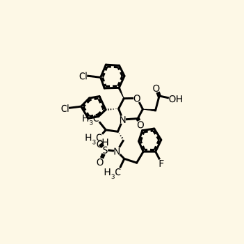 CC(C)[C@@H](CN(C(C)Cc1ccccc1F)[SH](=O)=O)N1C(=O)[C@H](CC(=O)O)O[C@H](c2cccc(Cl)c2)[C@H]1c1ccc(Cl)cc1